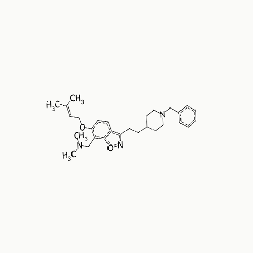 CC(C)=CCOc1ccc2c(CCC3CCN(Cc4ccccc4)CC3)noc2c1CN(C)C